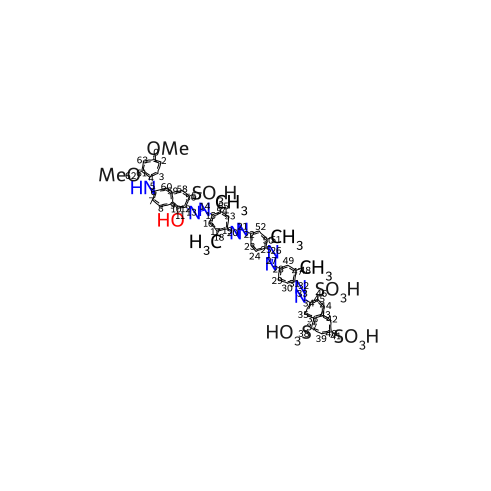 COc1ccc(Nc2ccc3c(O)c(N=Nc4cc(C)c(N=Nc5ccc(N=Nc6ccc(N=Nc7cc8c(S(=O)(=O)O)cc(S(=O)(=O)O)cc8cc7S(=O)(=O)O)c(C)c6)c(C)c5)cc4C)c(S(=O)(=O)O)cc3c2)c(OC)c1